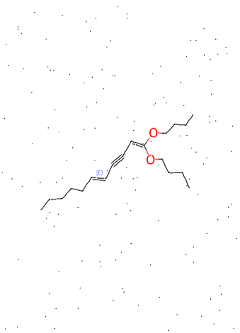 CCCCC/C=C/C#CC=C(OCCCC)OCCCC